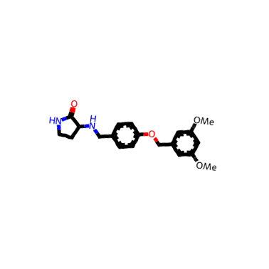 COc1cc(COc2ccc(CNC3CCNC3=O)cc2)cc(OC)c1